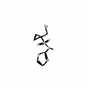 CN(c1nccs1)S(=O)(=O)C1(CO)CC1